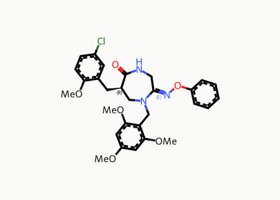 COc1cc(OC)c(CN2C[C@@H](Cc3cc(Cl)ccc3OC)C(=O)NC/C2=N\Oc2ccccc2)c(OC)c1